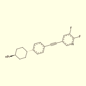 CCC[C@H]1CC[C@H](c2ccc(C#Cc3cnc(F)c(F)c3)cc2)CC1